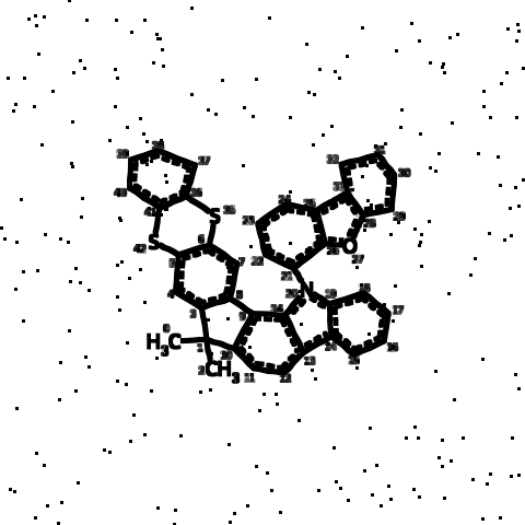 CC1(C)c2cc3c(cc2-c2c1ccc1c4ccccc4n(-c4cccc5c4oc4ccccc45)c21)Sc1ccccc1S3